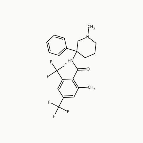 Cc1cc(C(F)(F)F)cc(C(F)(F)F)c1C(=O)NC1(c2ccccc2)CCCN(C)C1